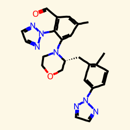 Cc1cc(C=O)c(-n2nccn2)c(N2CCOC[C@H]2Cc2cc(-n3nccn3)ccc2C)c1